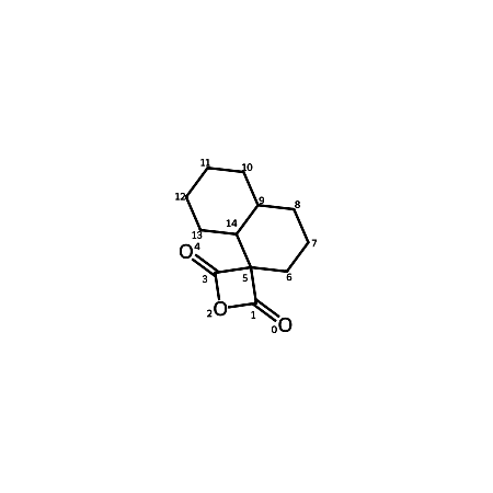 O=C1OC(=O)C12CCCC1CCCCC12